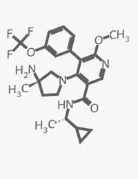 COc1ncc(C(=O)N[C@@H](C)C2CC2)c(N2CC[C@](C)(N)C2)c1-c1cccc(OC(F)(F)F)c1